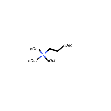 CCCCCCCCCCCC[N+](CCCCCCCC)(CCCCCCCC)CCCCCCCC